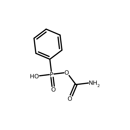 NC(=O)OP(=O)(O)c1ccccc1